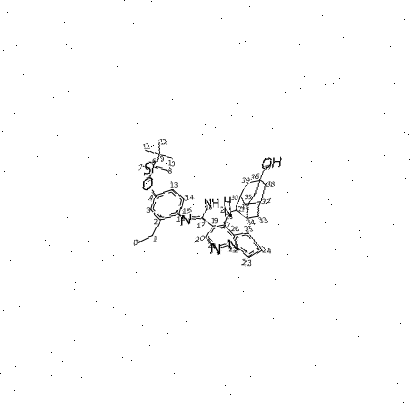 CCc1cc(O[Si](C)(C)C(C)(C)C)ccc1/N=C(\N)c1cnn2cccc2c1NC1C2CC3CC1CC(O)(C3)C2